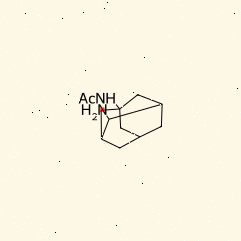 CC(=O)NC12CC3CC(C1)C(N)C(C3)C2